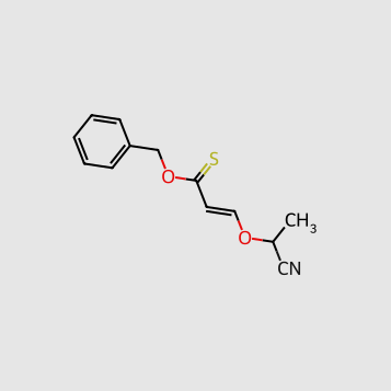 CC(C#N)OC=CC(=S)OCc1ccccc1